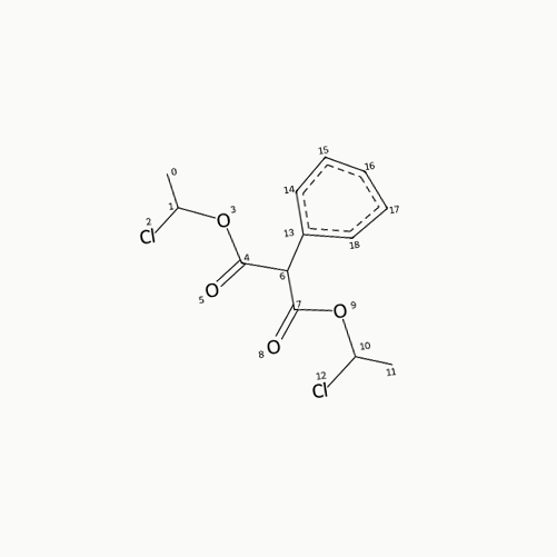 CC(Cl)OC(=O)C(C(=O)OC(C)Cl)c1ccccc1